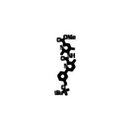 COC(=O)c1cc(C)c(NC(=O)c2nc(-c3cccc(CO[Si](C)(C)C(C)(C)C)c3)ccc2C)c(C)n1